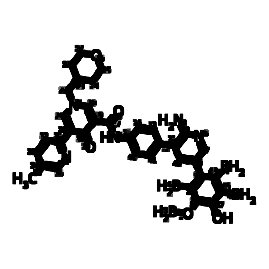 BOc1c(B)c(-c2cnc(N)c(-c3ccc(NC(=O)c4cn(CC5CCOCC5)cc(-c5ccc(C)cn5)c4=O)cc3)c2)c(B)c(B)c1O